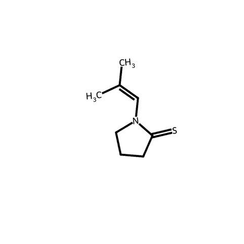 CC(C)=CN1CCCC1=S